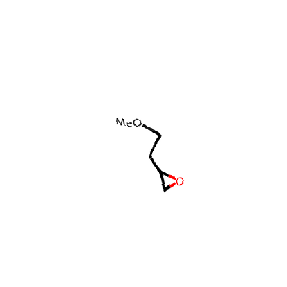 COCCC1CO1